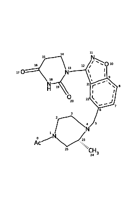 CC(=O)N1CCN(Cc2ccc3onc(N4CCC(=O)NC4=O)c3c2)[C@H](C)C1